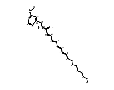 CCCCCCCCCC=CC=CC=CC=CC(=O)NCc1cccc(OC)c1